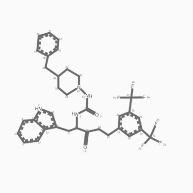 O=C(NC(Cc1c[nH]c2ccccc12)C(=O)CCc1cc(C(F)(F)F)cc(C(F)(F)F)c1)NN1CCC(Cc2ccccc2)CC1